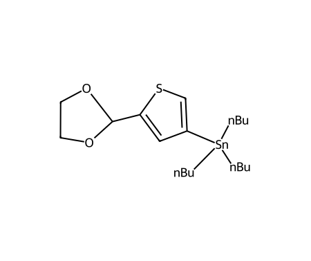 CCC[CH2][Sn]([CH2]CCC)([CH2]CCC)[c]1csc(C2OCCO2)c1